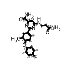 CC1CC(c2nc(NCCC(N)=O)cc(C(N)=O)n2)=CC=C1Oc1ccc(F)cc1